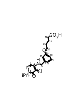 CC(C)n1ncc(NCc2cccc(OCCCCC(=O)O)c2)c(Cl)c1=O